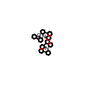 c1ccc(-c2ccccc2N(c2cccc(-c3cccc(N(c4ccccc4-c4ccccc4)c4cccc5c4oc4ccccc45)c3)c2)c2ccccc2-c2ccccc2)cc1